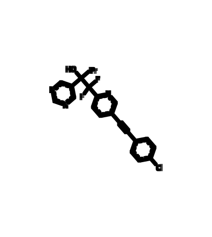 CC(C)C(O)(c1cncnc1)C(F)(F)c1ccc(C#Cc2ccc(Cl)cc2)cn1